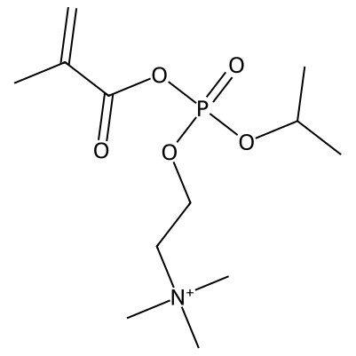 C=C(C)C(=O)OP(=O)(OCC[N+](C)(C)C)OC(C)C